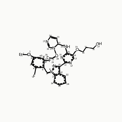 CCOc1cc(F)c(Cn2nc(-c3ncc(OCCCO)c(NC4C=CN=CN4OCC(F)(F)F)n3)c3ccccc32)c(F)c1